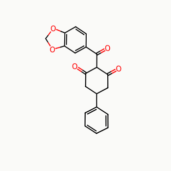 O=C1CC(c2ccccc2)CC(=O)C1C(=O)c1ccc2c(c1)OCO2